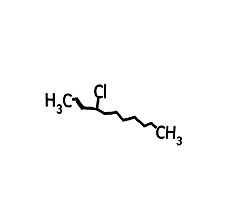 CC=CC(Cl)CCCCCCC